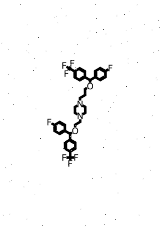 Fc1ccc(C(OCCCN2CCN(CCOC(c3ccc(F)cc3)c3ccc(C(F)(F)F)cc3)CC2)c2ccc(C(F)(F)F)cc2)cc1